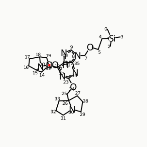 C[Si](C)(C)CCOCn1cnc2c(N3CC4CCC(C3)N4C(=O)O)nc(OCC34CCCN3CCC4)nc21